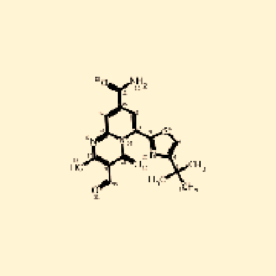 CC(C)(C)c1csc(-c2cc(C(N)=O)cc3nc(O)c(C=O)c(=O)n23)n1